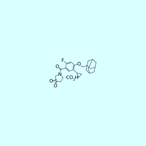 O=C(O)[C@@H]1CS(=O)(=O)CN1C(=O)c1cc(C2CC2)c(OCC23CC4CC(CC(C4)C2)C3)cc1F